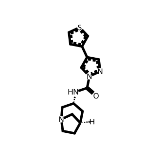 O=C(N[C@@H]1C[C@H]2CCN(C2)C1)n1cc(-c2ccsc2)cn1